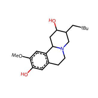 COc1cc2c(cc1O)CCN1CC(CC(C)(C)C)C(O)CC21